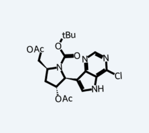 CC(=O)OC[C@@H]1C[C@@H](OC(C)=O)[C@H](c2c[nH]c3c(Cl)ncnc23)N1C(=O)OC(C)(C)C